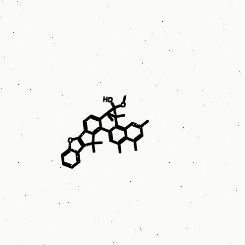 COC1(O)C2(C)c3ccc4c(c3-c3cc(C)c5c(C)cc(C)cc5c3C12C)C(C)(C)c1c-4oc2ccccc12